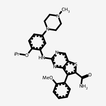 COc1ccccc1-c1c(C(N)=O)sc2cnc(Nc3cc(N4CCN(C)CC4)ccc3OC(C)C)nc12